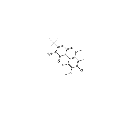 COc1c(F)c(-n2c(=O)cc(C(F)(F)F)n(N)c2=O)c(OC)c(C)c1Cl